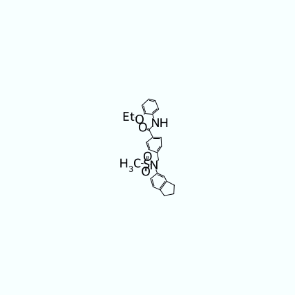 CCOc1ccccc1NC(=O)c1ccc(CN(c2ccc3c(c2)CCC3)S(C)(=O)=O)cc1